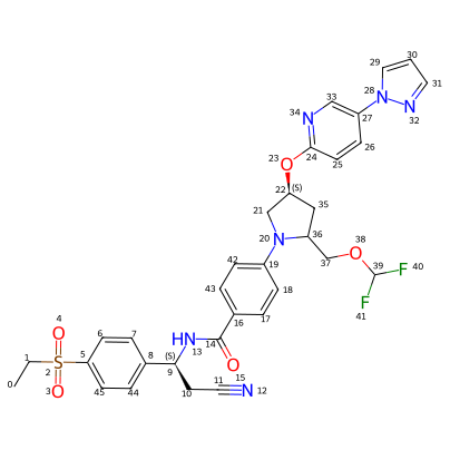 CCS(=O)(=O)c1ccc([C@H](CC#N)NC(=O)c2ccc(N3C[C@@H](Oc4ccc(-n5cccn5)cn4)CC3COC(F)F)cc2)cc1